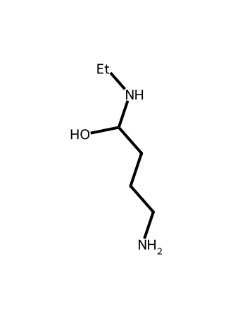 CCNC(O)CCCN